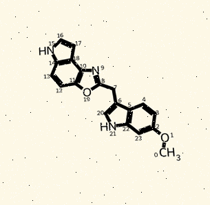 COc1ccc2c(Cc3nc4c(ccc5[nH]ccc54)o3)c[nH]c2c1